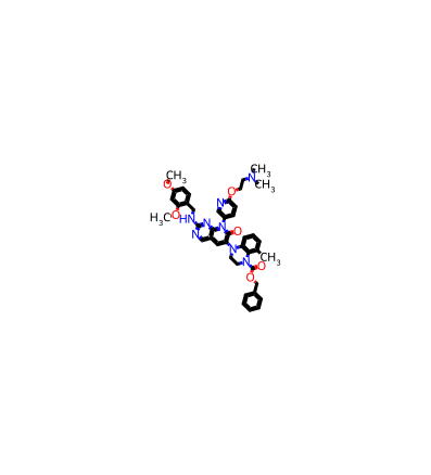 COc1ccc(CNc2ncc3cc(N4CCN(C(=O)OCc5ccccc5)c5c(C)cccc54)c(=O)n(-c4ccc(OCCN(C)C)nc4)c3n2)c(OC)c1